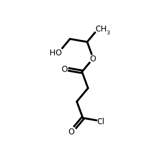 CC(CO)OC(=O)CCC(=O)Cl